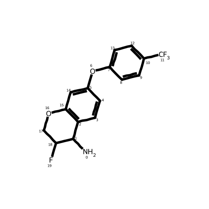 NC1c2ccc(Oc3ccc(C(F)(F)F)cc3)cc2OCC1F